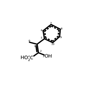 CC(=C(O)C(=O)O)c1ccccc1